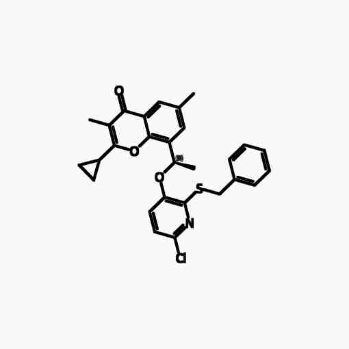 Cc1cc([C@@H](C)Oc2ccc(Cl)nc2SCc2ccccc2)c2oc(C3CC3)c(C)c(=O)c2c1